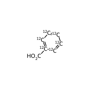 O=[12C](O)[12c]1[12cH][12cH][12cH][12cH][12cH]1